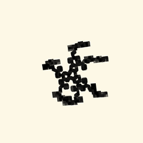 CCCCCCCCCN/C=C/C(=O)Oc1cc2c3cc(OC(=O)/C=C/NCCCCCCCCC)c(OC(=O)/C=C/NCCCCCCCCC)cc3c3cc(OC(=O)/C=C/NCCCCCCCCC)c(OC(=O)/C=C/NCCCCCCCCC)cc3c2cc1OC(=O)/C=C/NCCCCCCCCC